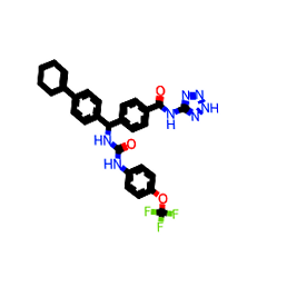 O=C(Nc1ccc(OC(F)(F)F)cc1)NC(c1ccc(C(=O)Nc2nn[nH]n2)cc1)c1ccc(C2=CCCCC2)cc1